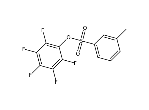 Cc1cccc(S(=O)(=O)Oc2c(F)c(F)c(F)c(F)c2F)c1